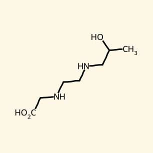 CC(O)CNCCNCC(=O)O